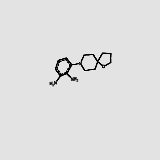 Nc1cccc(N2CCC3(CCCO3)CC2)c1N